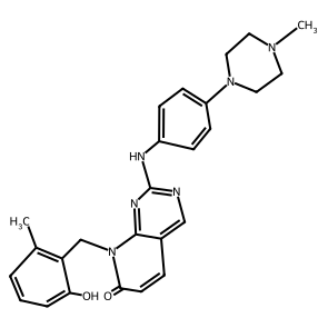 Cc1cccc(O)c1Cn1c(=O)ccc2cnc(Nc3ccc(N4CCN(C)CC4)cc3)nc21